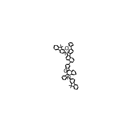 CC1(C)c2ccccc2-c2ccc(-n3c4ccc5c(-c6ccc7oc8c(c7c6)c6ccccc6c6c8c7ccccc7n6-c6ccc7c(c6)C(C)(C)c6ccccc6-7)cccc5c4c4ccc5c6ccccc6oc5c43)cc21